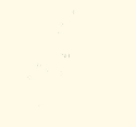 CCC(C(=O)O)C(CC(c1ccccc1)C(C)(C)C)C(=O)C(CC)(CC)NCC(=O)Oc1c(OC(C)=O)c2c(c3ccccc13)OC(C)(C)CC2